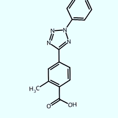 Cc1cc(-c2nnn(-c3ccccc3)n2)ccc1C(=O)O